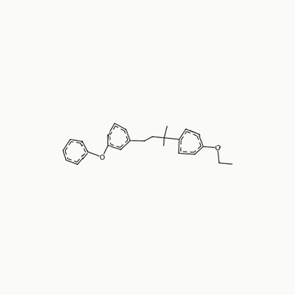 CCOc1ccc(C(C)(C)CCc2cccc(Oc3ccccc3)c2)cc1